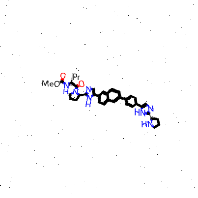 COC(=O)N[C@H](C(=O)N1CCCC1c1ncc(-c2ccc3cc(-c4ccc(-c5cnc([C@@H]6CCCN6)[nH]5)cc4)ccc3c2)[nH]1)C(C)C